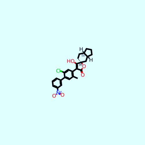 Cc1cc(-c2cccc([N+](=O)[O-])c2)c(Cl)cc1C1=C(O)[C@]2(CC[C@@H]3CCC[C@@H]3C2)OC1=O